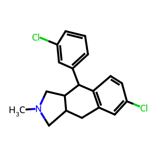 CN1CC2Cc3cc(Cl)ccc3C(c3cccc(Cl)c3)C2C1